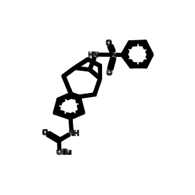 CC(C)COC(=O)Nc1ccc2c(c1)CC1CCC(C2)C1NS(=O)(=O)c1ccccc1